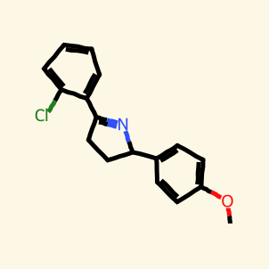 COc1ccc(C2CCC(c3ccccc3Cl)=N2)cc1